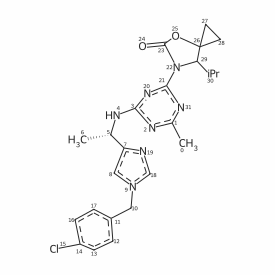 Cc1nc(N[C@@H](C)c2cn(Cc3ccc(Cl)cc3)cn2)nc(N2C(=O)OC3(CC3)C2C(C)C)n1